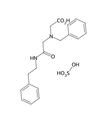 O=C(O)CN(CC(=O)NCCc1ccccc1)Cc1ccccc1.O=S(=O)(O)O